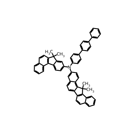 CC1(C)c2cc(N(c3ccc(-c4ccc(-c5ccccc5)cc4)cc3)c3ccc4c5c(ccc4c3)-c3ccc4ccccc4c3C5(C)C)ccc2-c2c1ccc1ccccc21